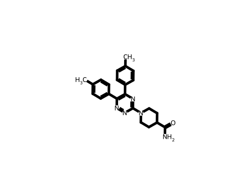 Cc1ccc(-c2nnc(N3CCC(C(N)=O)CC3)nc2-c2ccc(C)cc2)cc1